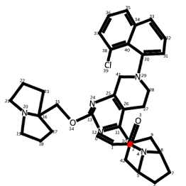 C=CC(=O)N1C2CCC1CN(c1nc(OCC34CCCN3CCC4)nc3c1CCN(c1cccc4cccc(Cl)c14)C3)C2